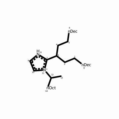 CCCCCCCCCCCCC(CCCCCCCCCCCC)c1[nH]cc[n+]1C(C)CCCCCCCC